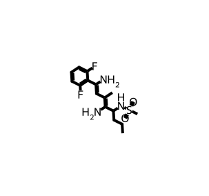 CCCC(NS(C)(=O)=O)/C(N)=C(C)/C=C(\N)c1c(F)cccc1F